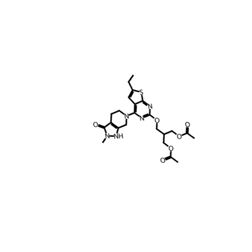 CCc1cc2c(N3CCc4c([nH]n(C)c4=O)C3)nc(OCC(COC(C)=O)COC(C)=O)nc2s1